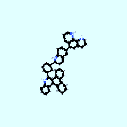 c1cc(-c2ccc3cc(-c4cc5cccnc5c5ncccc45)ccc3n2)cc(-c2nc3ccccc3c3c4ccccc4c4ccccc4c23)c1